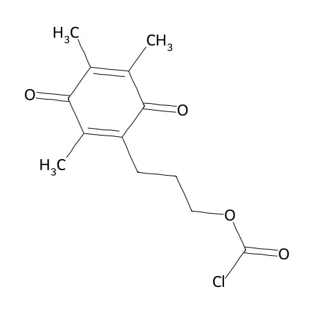 CC1=C(C)C(=O)C(CCCOC(=O)Cl)=C(C)C1=O